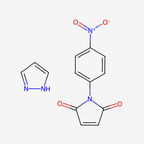 O=C1C=CC(=O)N1c1ccc([N+](=O)[O-])cc1.c1cn[nH]c1